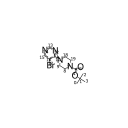 CC(C)(C)OC(=O)N1CCN(c2ncncc2Br)CC1